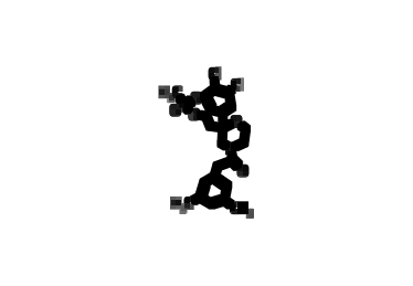 Cc1cc(C)cc(CC(=O)N2CCOC(CCOS(C)(=O)=O)(c3ccc(Cl)c(Cl)c3)C2)c1